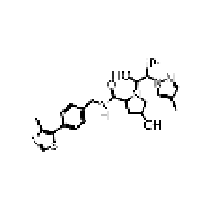 Cc1cnn(C(C(C)C)C(O)N2CC(O)CC2C(=O)NCc2ccc(-c3scnc3C)cc2)c1